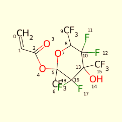 C=CC(=O)OC1(C(F)(F)F)OC(C(F)(F)F)C(F)(F)C(O)(C(F)(F)F)C1(F)F